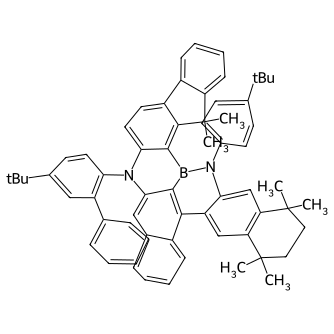 CC(C)(C)c1ccc(N2B3c4c(ccc5c4C(C)(C)c4ccccc4-5)N(c4ccc(C(C)(C)C)cc4-c4ccccc4)c4cc5ccccc5c(c43)-c3cc4c(cc32)C(C)(C)CCC4(C)C)cc1